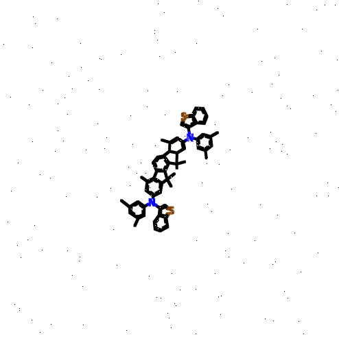 CC1=CC(N(c2cc(C)cc(C)c2)c2csc3ccccc23)=CC2C1c1ccc3c(c1C2(C)C)C(C)(C)c1cc(N(c2cc(C)cc(C)c2)c2csc4ccccc24)cc(C)c1-3